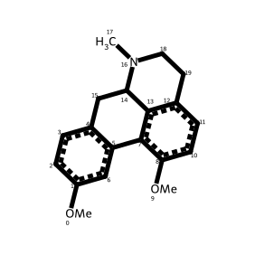 COc1ccc2c(c1)-c1c(OC)ccc3c1C(C2)N(C)CC3